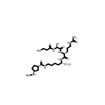 CC(C)[C@H](NC(=O)CCC(C)(C)C)C(=O)N[C@@H](CCCNC(N)=O)C(=O)N[C@@H](CCCCNC(=O)[C@@H]1CC[C@H](NC(C)(C)C)C1)C(=O)O